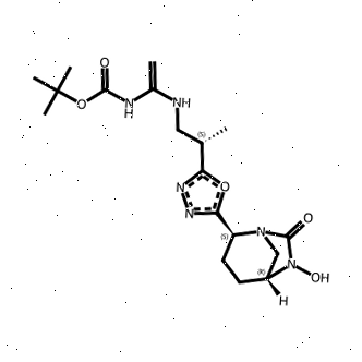 C=C(NC[C@H](C)c1nnc([C@@H]2CC[C@@H]3CN2C(=O)N3O)o1)NC(=O)OC(C)(C)C